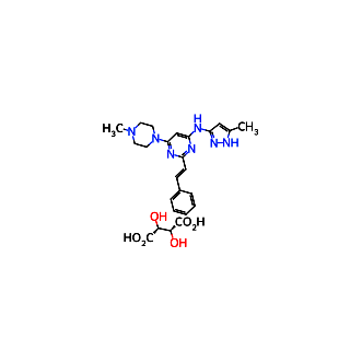 Cc1cc(Nc2cc(N3CCN(C)CC3)nc(/C=C/c3ccccc3)n2)n[nH]1.O=C(O)[C@@H](O)[C@H](O)C(=O)O